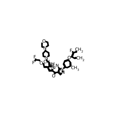 C=C/C(F)=C(\C=C)OC1=CC=C(n2ncc(C(=O)c3cc(=C/C(=C)OCC(F)F)/c(=C\CN4CCC(N5CCOCC5)CC4)[nH]3)c2N)CC(C)=C1